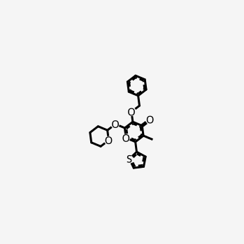 Cc1c(-c2cccs2)oc(OC2CCCCO2)c(OCc2ccccc2)c1=O